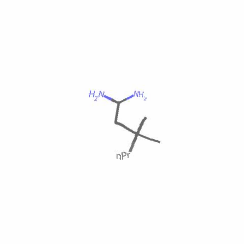 CCCC(C)(C)CC(N)N